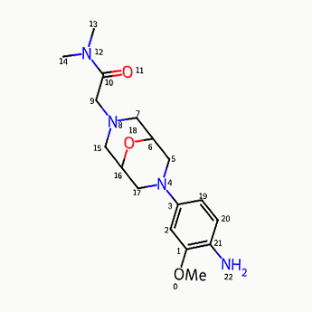 COc1cc(N2CC3CN(CC(=O)N(C)C)CC(C2)O3)ccc1N